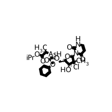 CC(C)OC(=O)[C@@H](C)[AsH]P(=O)(OC[C@H]1O[C@@H](n2c(=O)cc[nH]c2=O)[C@](C)(Cl)[C@@H]1O)Oc1ccccc1